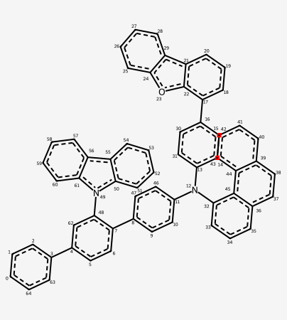 c1ccc(-c2ccc(-c3ccc(N(c4ccc(-c5cccc6c5oc5ccccc56)cc4)c4cccc5ccc6ccccc6c45)cc3)c(-n3c4ccccc4c4ccccc43)c2)cc1